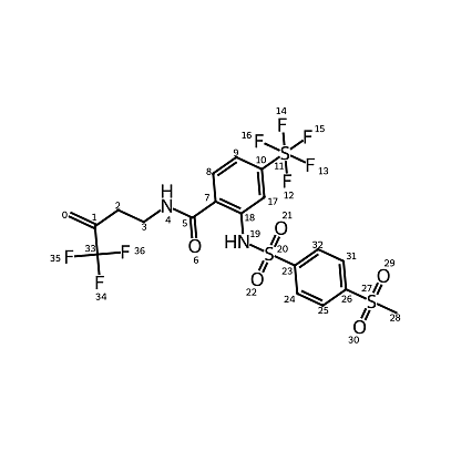 C=C(CCNC(=O)c1ccc(S(F)(F)(F)(F)F)cc1NS(=O)(=O)c1ccc(S(C)(=O)=O)cc1)C(F)(F)F